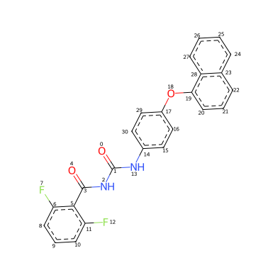 O=C(NC(=O)c1c(F)cccc1F)Nc1ccc(Oc2cccc3ccccc23)cc1